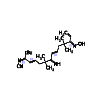 C=C/C(=N\O)C(C)(C)C/C=C/C(=N)C(C)(C)C/C=C/C(=N\C#N)C(C)(C)C